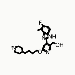 Cc1c(F)ccc2[nH]c(-c3cc(OCCCCC4CCN(C)CC4)ncc3CO)nc12